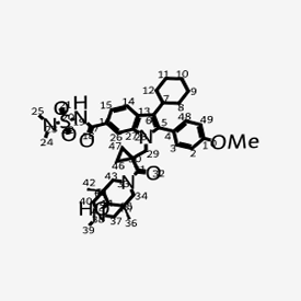 COc1ccc(-c2c(C3CCCCC3)c3ccc(C(=O)NS(=O)(=O)N(C)C)cc3n2CC2(C(=O)N3C[C@]4(C)CN(C)C[C@](C)(C3)C4O)CC2)cc1